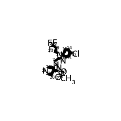 CS(=O)(=O)c1nn(Cc2nc3cc(Cl)ccc3n2CCC(F)(F)F)c2cnccc12